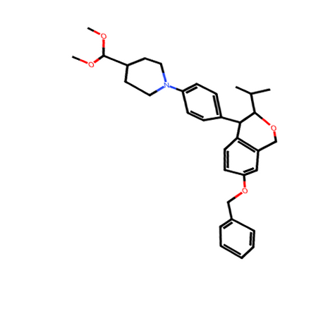 COC(OC)C1CCN(c2ccc(C3c4ccc(OCc5ccccc5)cc4COC3C(C)C)cc2)CC1